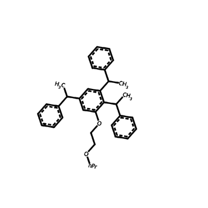 CCCOCCOc1cc(C(C)c2ccccc2)cc(C(C)c2ccccc2)c1C(C)c1ccccc1